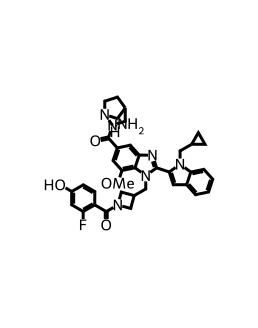 COc1cc(C(=O)N2CC3CCN2[C@@H]3N)cc2nc(-c3cc4ccccc4n3CC3CC3)n(CC3CN(C(=O)c4ccc(O)cc4F)C3)c12